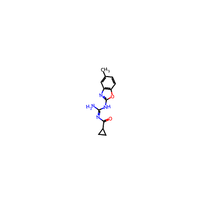 Cc1ccc2oc(N/C(N)=N\C(=O)C3CC3)nc2c1